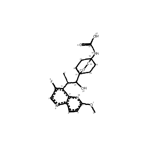 COc1ccc2ncc(F)c(C(C)C(O)C34CCC(NC(=O)O)(CC3)CO4)c2n1